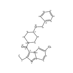 CCc1nc2ccc(Cl)cn2c1C(=O)N1CCC(OCc2ccccc2)CC1